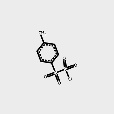 CCS(=O)(=O)S(=O)(=O)c1ccc(C)cc1